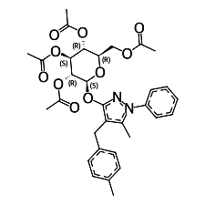 CC(=O)OC[C@H]1O[C@@H](Oc2nn(-c3ccccc3)c(C)c2Cc2ccc(C)cc2)[C@H](OC(C)=O)[C@@H](OC(C)=O)[C@@H]1OC(C)=O